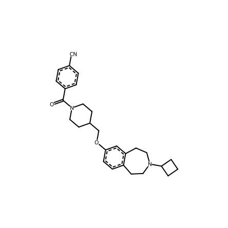 N#Cc1ccc(C(=O)N2CCC(COc3ccc4c(c3)CCN(C3CCC3)CC4)CC2)cc1